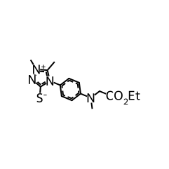 CCOC(=O)CN(C)c1ccc(-n2c([S-])n[n+](C)c2C)cc1